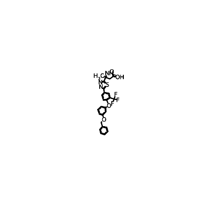 C[C@](N)(CC(=O)O)c1nnc(-c2ccc(Oc3cccc(OCc4ccccc4)c3)c(C(F)(F)F)c2)s1